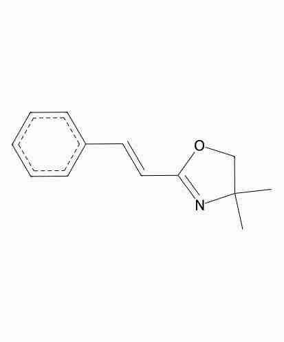 CC1(C)COC(/C=C/c2ccccc2)=N1